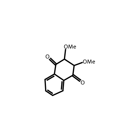 COC1C(=O)c2ccccc2C(=O)C1OC